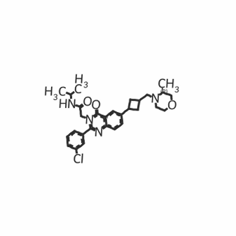 CC(C)NC(=O)Cn1c(-c2cccc(Cl)c2)nc2ccc(C3CC(CN4CCOC[C@H]4C)C3)cc2c1=O